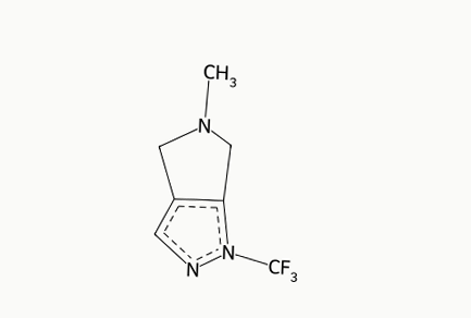 CN1Cc2cnn(C(F)(F)F)c2C1